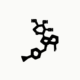 O[C@@H]1[C@@H](O)[C@H](c2cn(Cc3ccc(C4CC4)cc3)c3c(F)cccc23)OC[C@H]1O